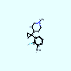 CC(C)N1CCC(C2(c3cccc(C(C)(C)C)c3F)CC2)CC1